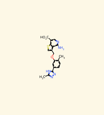 Cc1nnc(-c2ccc(C)c(OCc3csc4c(C(=O)O)cnc(N)c34)c2)[nH]1